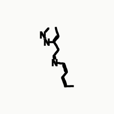 C\C=C/C=C\N=C/CC(=C/C)/N=N\C